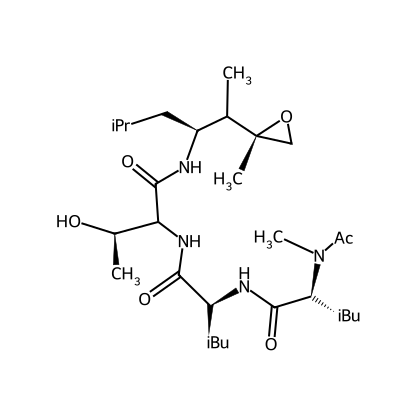 CC[C@H](C)[C@H](NC(=O)[C@H]([C@@H](C)CC)N(C)C(C)=O)C(=O)NC(C(=O)N[C@@H](CC(C)C)C(C)[C@@]1(C)CO1)[C@@H](C)O